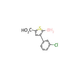 Bc1sc(C(=O)O)cc1-c1cccc(Cl)c1